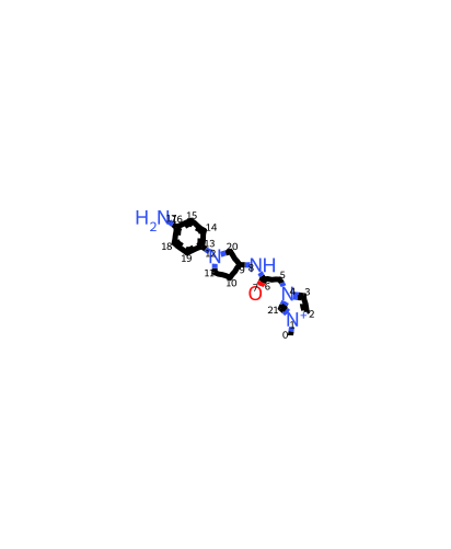 C[n+]1ccn(CC(=O)NC2CCN(c3ccc(N)cc3)C2)c1